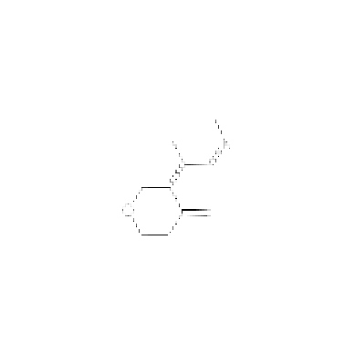 C=C1CCOC/C1=C(C)/C=N\C